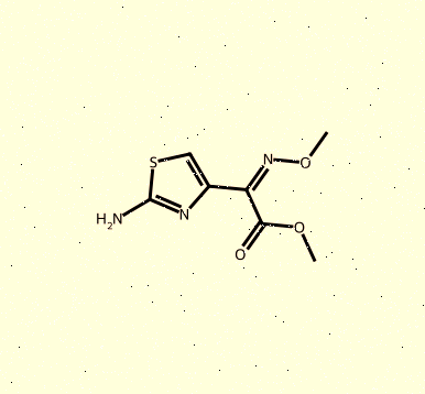 CON=C(C(=O)OC)c1csc(N)n1